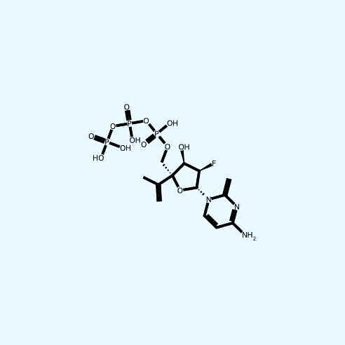 C=C1N=C(N)C=CN1[C@@H]1O[C@@](COP(=O)(O)OP(=O)(O)OP(=O)(O)O)(C(=C)C)[C@@H](O)[C@H]1F